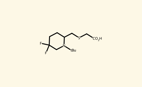 CC(C)(C)N1CC(F)(F)CCC1CSCC(=O)O